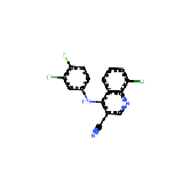 N#Cc1cnc2c(Cl)cccc2c1Nc1ccc(F)c(Cl)c1